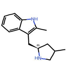 Cc1[nH]c2ccccc2c1C[C@H]1CC(C)CN1